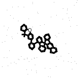 CC1(C)c2ccccc2Oc2ccc(-c3ccccc3-c3cccc4c3-c3ccccc3C43c4ccccc4-c4cc5ccccc5cc43)cc21